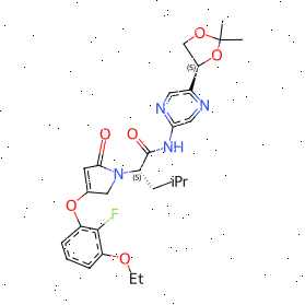 CCOc1cccc(OC2=CC(=O)N([C@@H](CC(C)C)C(=O)Nc3cnc([C@H]4COC(C)(C)O4)cn3)C2)c1F